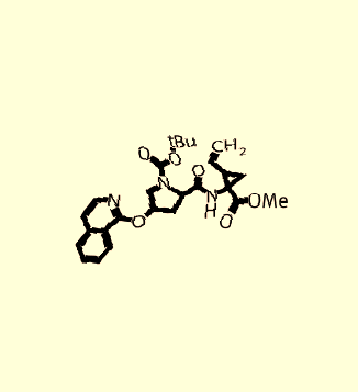 C=CC1CC1(NC(=O)C1CC(Oc2nccc3ccccc23)CN1C(=O)OC(C)(C)C)C(=O)OC